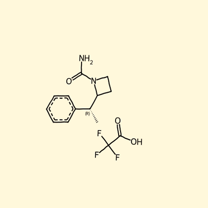 C[C@H](c1ccccc1)C1CCN1C(N)=O.O=C(O)C(F)(F)F